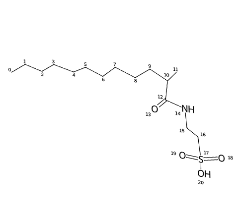 CCCCCCCCCCC(C)C(=O)NCCS(=O)(=O)O